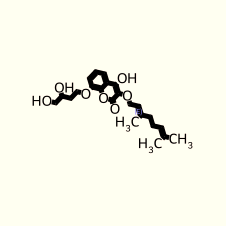 CC(C)=CCC/C(C)=C/COc1c(O)c2cccc(OCCC(O)CO)c2oc1=O